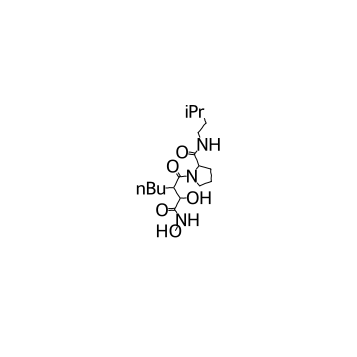 CCCCC(C(=O)N1CCCC1C(=O)NCCC(C)C)C(O)C(=O)NO